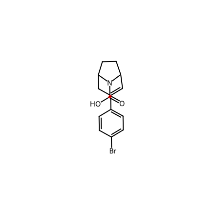 O=C(O)N1C2C=C(c3ccc(Br)cc3)CC1CC2